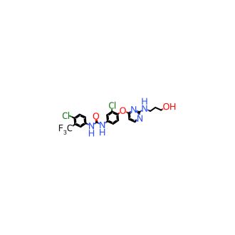 O=C(Nc1ccc(Oc2ccnc(NCCCO)n2)c(Cl)c1)Nc1ccc(Cl)c(C(F)(F)F)c1